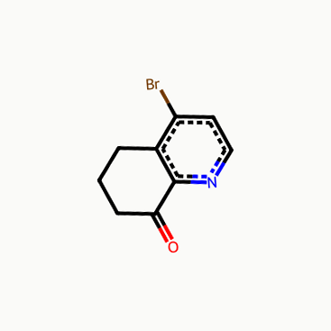 O=C1CCCc2c(Br)ccnc21